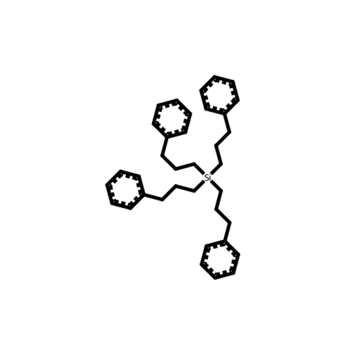 c1ccc(CCC[Si](CCCc2ccccc2)(CCCc2ccccc2)CCCc2ccccc2)cc1